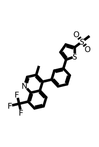 Cc1cnc2c(C(F)(F)F)cccc2c1-c1cccc(-c2ccc(S(C)(=O)=O)s2)c1